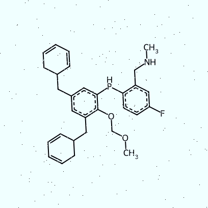 CNCc1cc(F)ccc1Pc1cc(CC2C=CC=CC2)cc(CC2C=CC=CC2)c1OCOC